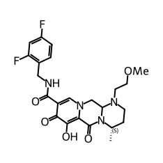 COCCN1CC[C@H](C)N2C(=O)c3c(O)c(=O)c(C(=O)NCc4ccc(F)cc4F)cn3CC12